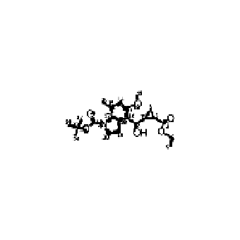 CCOC(=O)C1CC1C(O)c1c(OC)cc(C)c2c1ccn2C(=O)OC(C)(C)C